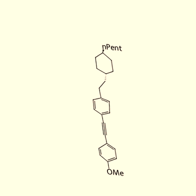 CCCCC[C@H]1CC[C@H](CCc2ccc(C#Cc3ccc(OC)cc3)cc2)CC1